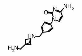 NCC12CC(NCc3ccc(-n4ccc(N)nc4=O)cc3)(C1)C2